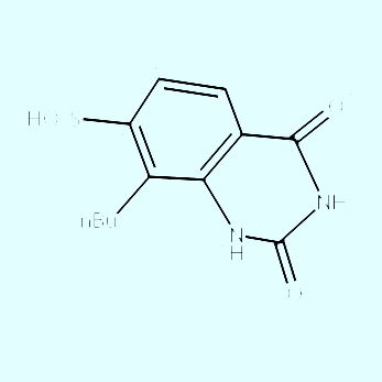 CCCCc1c(S(=O)(=O)O)ccc2c(=O)[nH]c(=O)[nH]c12